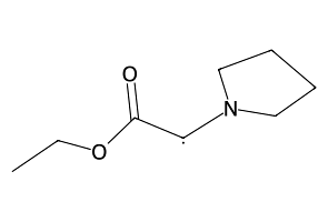 CCOC(=O)[CH]N1CCCC1